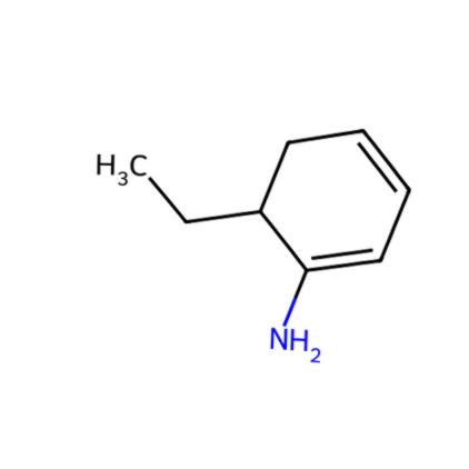 CCC1CC=CC=C1N